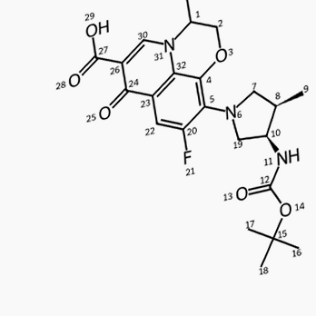 CC1COc2c(N3C[C@@H](C)[C@@H](NC(=O)OC(C)(C)C)C3)c(F)cc3c(=O)c(C(=O)O)cn1c23